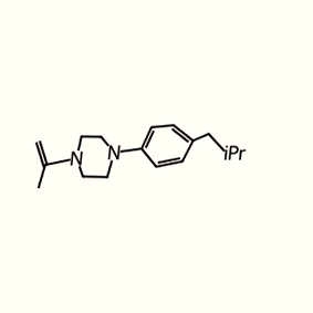 C=C(C)N1CCN(c2ccc(CC(C)C)cc2)CC1